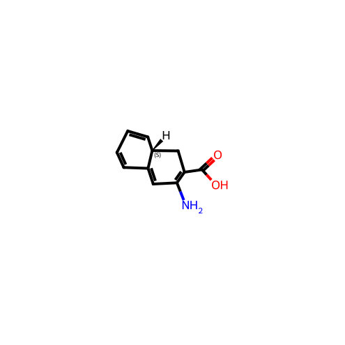 NC1=C(C(=O)O)C[C@H]2C=CC=CC2=C1